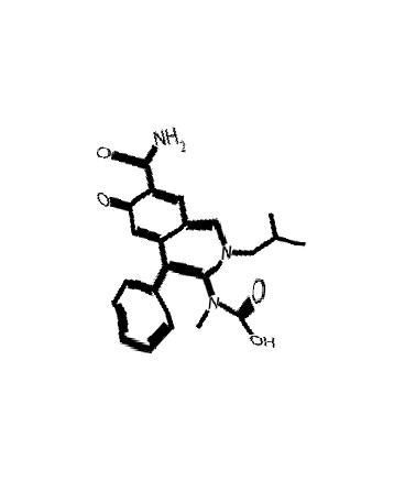 CC(C)Cn1cc2cc(C(N)=O)c(=O)cc-2c(-c2ccccc2)c1N(C)C(=O)O